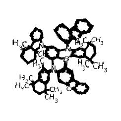 Cc1cc2c(cc1N1c3cc4oc5ccccc5c4cc3B3c4cc5c(cc4N(c4cccc6c4sc4ccccc46)c4cc(N6c7ccccc7C7(C)CCCCC67C)cc1c43)C(C)(C)CCC5(C)C)C(C)(C)CCC2(C)C